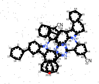 N#Cc1ccc(-n2c3ccc(-c4ccccc4)cc3c3c4ccccc4ccc32)c(-c2nc(-c3ccccc3)nc(-c3cc(C#N)ccc3-n3c4ccc(-c5ccccc5)cc4c4c5ccccc5ccc43)n2)c1